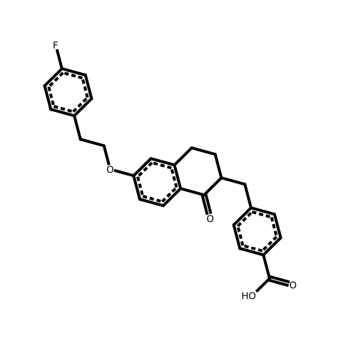 O=C(O)c1ccc(CC2CCc3cc(OCCc4ccc(F)cc4)ccc3C2=O)cc1